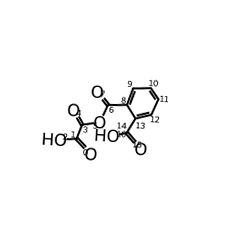 O=C(O)C(=O)OC(=O)c1ccccc1C(=O)O